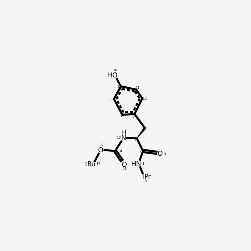 CC(C)NC(=O)[C@H](Cc1ccc(O)cc1)NC(=O)OC(C)(C)C